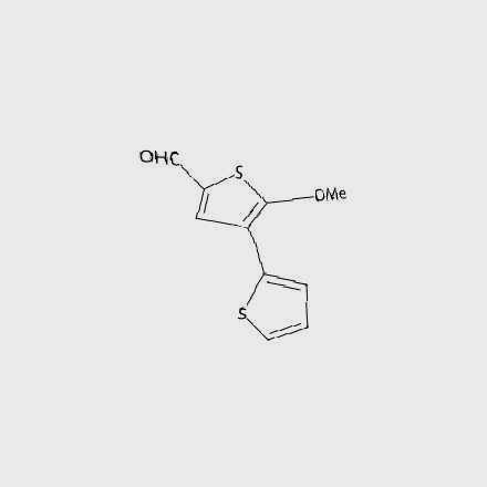 COc1sc(C=O)cc1-c1cccs1